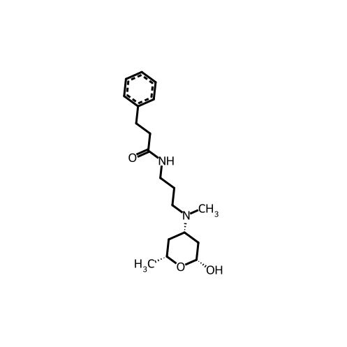 C[C@@H]1C[C@H](N(C)CCCNC(=O)CCc2ccccc2)C[C@H](O)O1